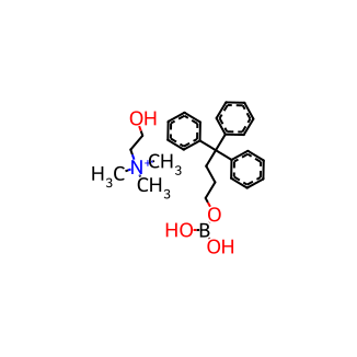 C[N+](C)(C)CCO.OB(O)OCCCC(c1ccccc1)(c1ccccc1)c1ccccc1